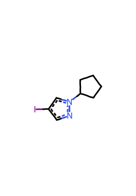 Ic1cnn(C2CCCC2)c1